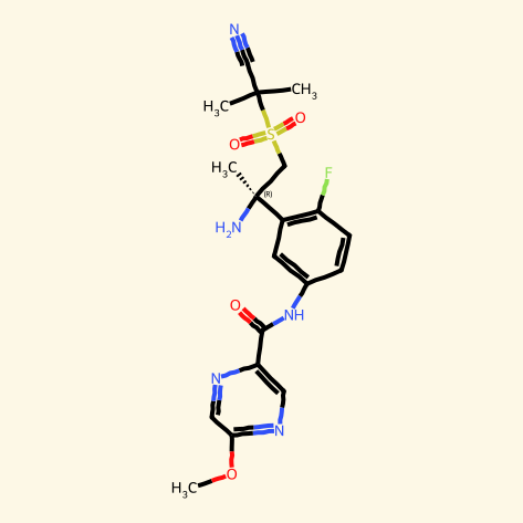 COc1cnc(C(=O)Nc2ccc(F)c([C@@](C)(N)CS(=O)(=O)C(C)(C)C#N)c2)cn1